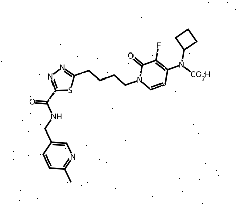 Cc1ccc(CNC(=O)c2nnc(CCCCn3ccc(N(C(=O)O)C4CCC4)c(F)c3=O)s2)cn1